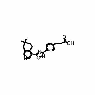 CC1(C)CCc2c(cncc2-c2nc(-c3ccc(CCC(=O)O)cc3)no2)C1